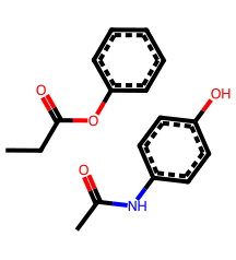 CC(=O)Nc1ccc(O)cc1.CCC(=O)Oc1ccccc1